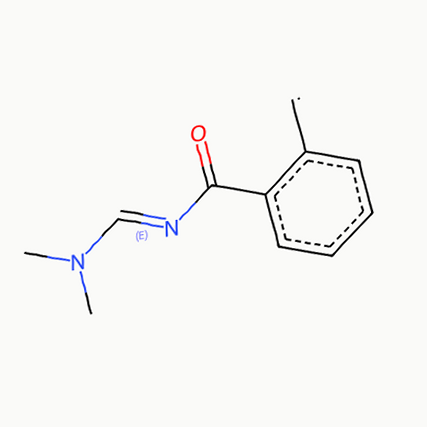 [CH2]c1ccccc1C(=O)/N=C/N(C)C